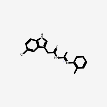 CC1=C(/N=C(\C)NC(=O)Cc2c[nH]c3ccc(Cl)cc23)CCC=C1